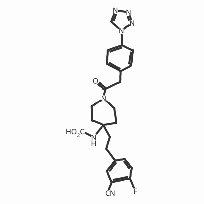 N#Cc1cc(CCC2(NC(=O)O)CCN(C(=O)Cc3ccc(-n4cnnn4)cc3)CC2)ccc1F